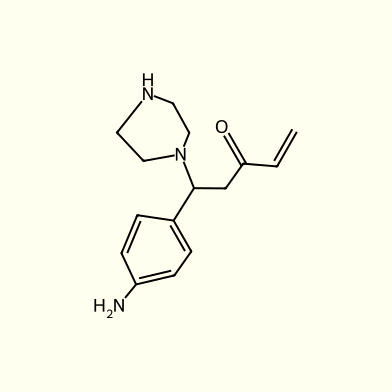 C=CC(=O)CC(c1ccc(N)cc1)N1CCNCC1